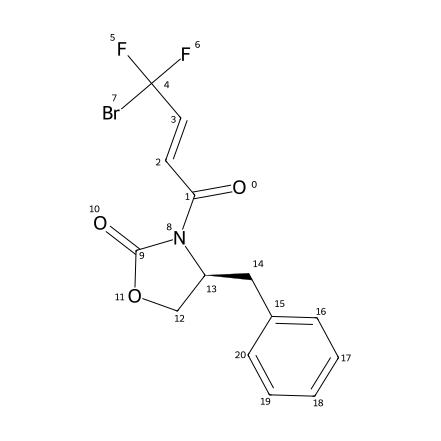 O=C(/C=C/C(F)(F)Br)N1C(=O)OC[C@@H]1Cc1ccccc1